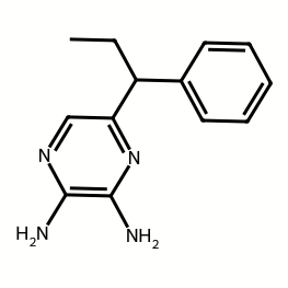 CCC(c1ccccc1)c1cnc(N)c(N)n1